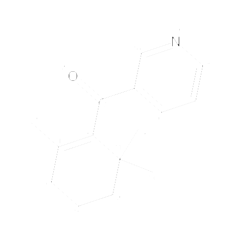 CC1=C(C(=O)c2cccnc2)C(C)(C)CCC1